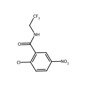 O=C(NCC(F)(F)F)c1cc([N+](=O)[O-])ccc1Cl